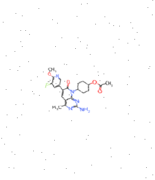 COc1ncc(-c2cc3c(C)nc(N)nc3n(C3CCC(OC(C)=O)CC3)c2=O)cc1F